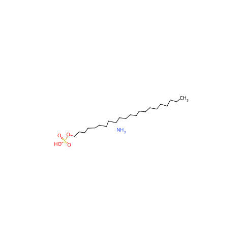 CCCCCCCCCCCCCCCCCCCCCCOS(=O)(=O)O.N